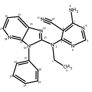 CCN(c1ncnc(N)c1C#N)c1nc2cccnc2n1-c1ccccc1